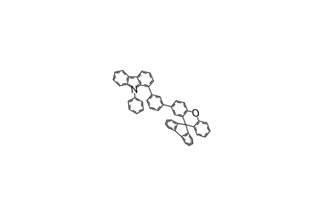 c1ccc(-n2c3ccccc3c3cccc(-c4cccc(-c5ccc6c(c5)C5(c7ccccc7O6)c6ccccc6-c6ccccc65)c4)c32)cc1